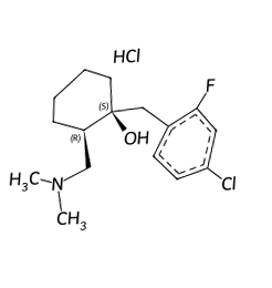 CN(C)C[C@H]1CCCC[C@]1(O)Cc1ccc(Cl)cc1F.Cl